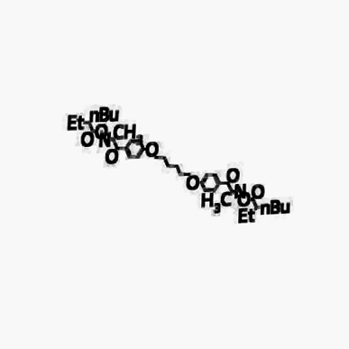 CCCCC(CC)C(=O)O/N=C(\C)C(=O)c1ccc(OCCCCCCOc2ccc(C(=O)/C(C)=N/OC(=O)C(CC)CCCC)cc2)cc1